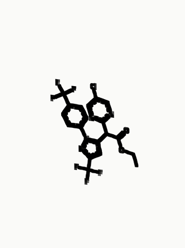 CCOC(=O)C(c1ncc(Cl)cn1)c1cc(C(F)(F)F)nn1-c1ccc(C(F)(F)F)cc1